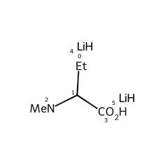 CCC(NC)C(=O)O.[LiH].[LiH]